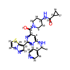 CC(Nc1cc(C(=O)N2CCC(NC(=O)C3CC3)CC2)nc(-c2cnn3ccsc23)n1)c1ccncc1